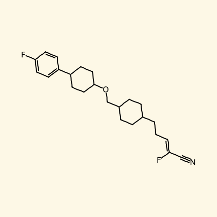 N#CC(F)=CCCC1CCC(COC2CCC(c3ccc(F)cc3)CC2)CC1